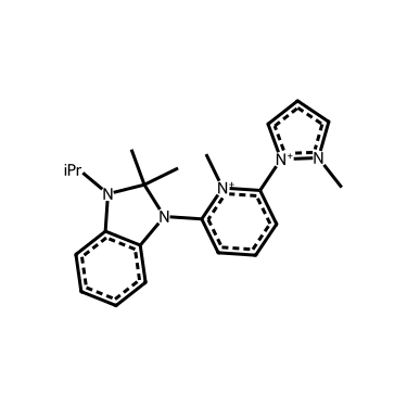 CC(C)N1c2ccccc2N(c2cccc(-[n+]3cccn3C)[n+]2C)C1(C)C